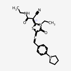 CCNC(=O)/C(C#N)=c1\sc(=C=Cc2ccc(N3CCCC3)cc2)c(=O)n1CC